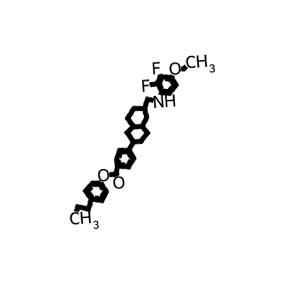 CCCc1ccc(OC(=O)c2ccc(C3CCC4CC(CNc5ccc(OCC)c(F)c5F)CCC4C3)cc2)cc1